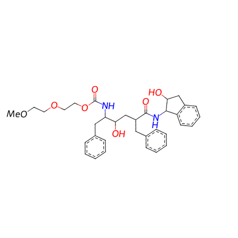 COCCOCCOC(=O)NC(Cc1ccccc1)C(O)CC(Cc1ccccc1)C(=O)NC1c2ccccc2CC1O